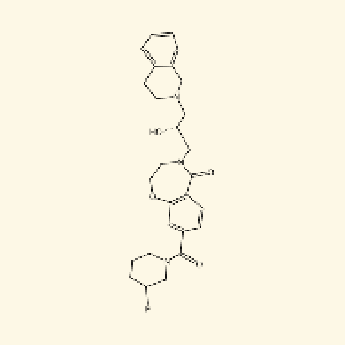 O=C(c1ccc2c(c1)OCCN(C[C@H](O)CN1CCc3ccccc3C1)C2=O)N1CCCC(F)C1